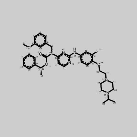 COc1cccc(CN(C(=O)O[C@@H](C)c2ccccc2)c2ccnc(Nc3ccc(OCCN4CCN(C(C)C)CC4)c(F)c3)n2)c1